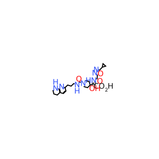 O=C(N[C@H](C(=O)O)C1(O)CCN(C(=O)NCCCc2ccc3c(n2)NCCC3)CC1)c1nnc(C2CC2)o1